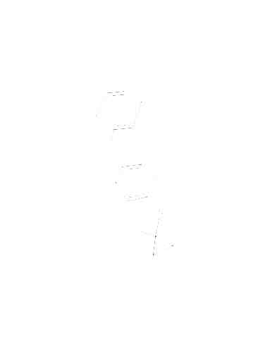 CCOC(=O)C1(Nc2ccc(Oc3ccccc3)cc2)CC1